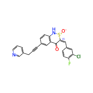 O=C1/C(=C\c2ccc(F)c(Cl)c2)[S+]([O-])Nc2ccc(C#CCc3cccnc3)cc21